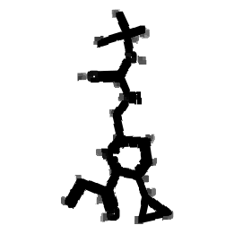 C=CC(=O)c1nc(CNC(=O)OC(C)(C)C)ccc1C1CC1